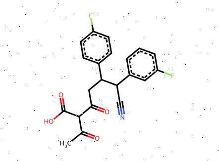 CC(=O)C(C(=O)O)C(=O)CC(c1ccc(F)cc1)C(C#N)c1cccc(F)c1